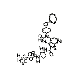 CC(C)(C)OC(=O)NC1CCC(NC(=O)c2sc3nccc4c3c2NC(=O)N4c2ccc(Oc3ccccc3)cc2)C1